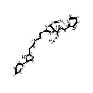 C=Nc1sc(CCNCCc2ncc(-c3ccccn3)[nH]2)nc1/C(=N\C)NCc1ncccc1F